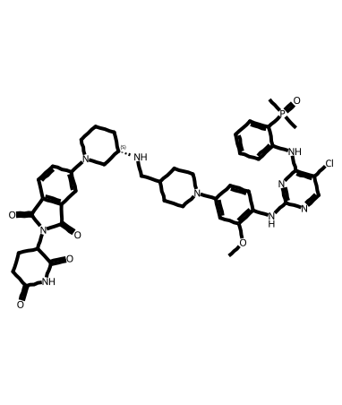 COc1cc(N2CCC(CN[C@H]3CCCN(c4ccc5c(c4)C(=O)N(C4CCC(=O)NC4=O)C5=O)C3)CC2)ccc1Nc1ncc(Cl)c(Nc2ccccc2P(C)(C)=O)n1